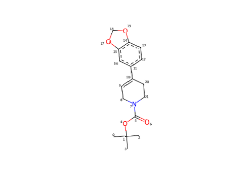 CC(C)(C)OC(=O)N1CC=C(c2ccc3c(c2)OCO3)CC1